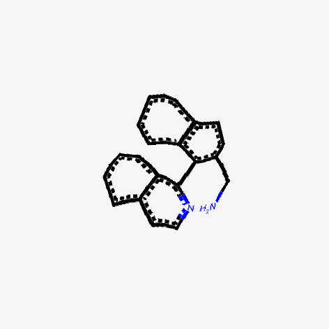 NCc1ccc2ccccc2c1-c1nccc2ccccc12